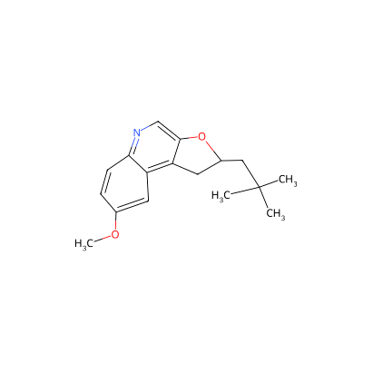 COc1ccc2ncc3c(c2c1)CC(CC(C)(C)C)O3